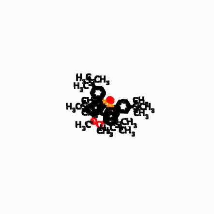 COc1cccc(P(=O)(c2ccc([Si](C)(C)C)cc2)c2ccc([Si](C)(C)C)cc2)c1-c1c(OC)cccc1P(=O)(c1ccc([Si](C)(C)C)cc1)c1ccc([Si](C)(C)C)cc1